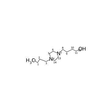 CCCCN1CCN(CCCCO)CC1